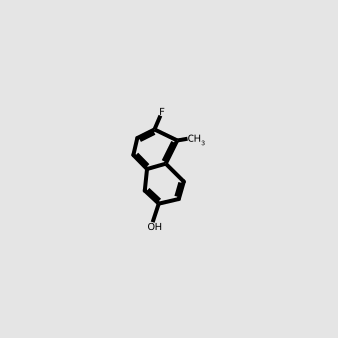 Cc1c(F)ccc2cc(O)ccc12